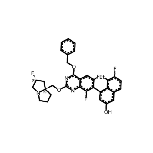 CCc1c(F)ccc2cc(O)cc(-c3c(F)cc4c(OCc5ccccc5)nc(OC[C@@]56CCCN5C[C@H](F)C6)nc4c3F)c12